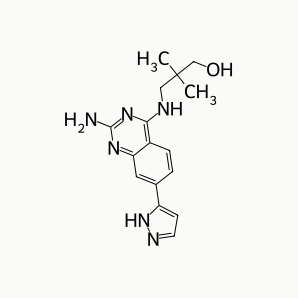 CC(C)(CO)CNc1nc(N)nc2cc(-c3ccn[nH]3)ccc12